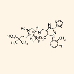 CCOC(=O)C1=C(CN2CC(F)(F)[C@@H]3[C@H]2CN(C(C)=O)N3CCC(C)(C)C(=O)O)NC(c2nccs2)=N[C@H]1c1cccc(F)c1C